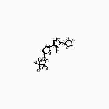 CC1(C)OB(c2ccc(-c3cnc(C4CCCC4)[nH]3)s2)OC1(C)C